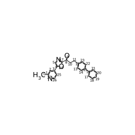 Cc1cc(-c2cnc(C(=O)CCc3ccc(-c4ccccc4)cc3)o2)ccn1